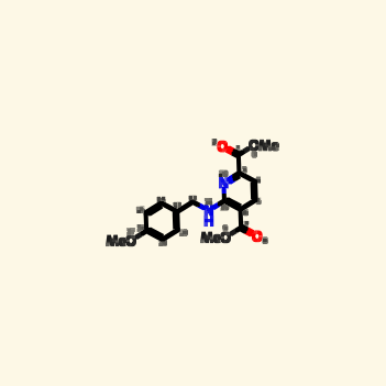 COC(=O)c1ccc(C(=O)OC)c(NCc2ccc(OC)cc2)n1